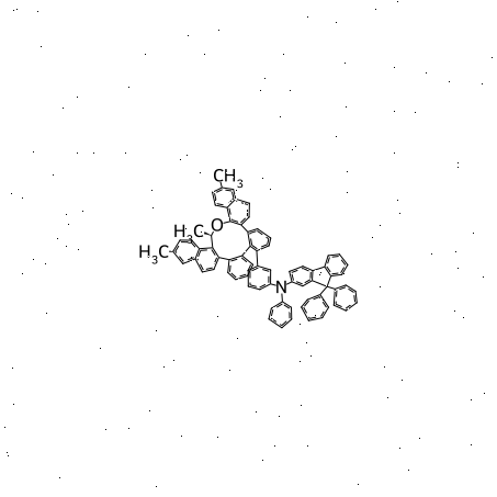 Cc1ccc2c3c(ccc2c1)-c1cccc(-c2cccc(N(c4ccccc4)c4ccc5c(c4)C(c4ccccc4)(c4ccccc4)c4ccccc4-5)c2)c1-c1ccccc1-c1ccc2cc(C)ccc2c1[C@@H](C)O3